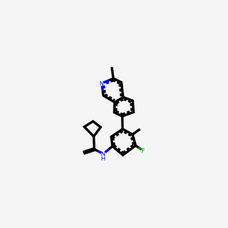 C=C(Nc1cc(F)c(C)c(-c2ccc3cc(C)ncc3c2)c1)C1CCC1